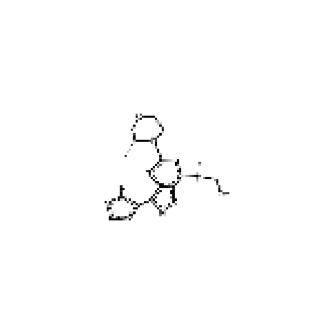 C[C@@H]1COCCN1c1cc(C(C)(C)CO)c2snc(-c3ccn[nH]3)c2n1